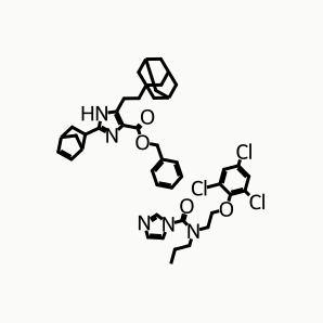 CCCN(CCOc1c(Cl)cc(Cl)cc1Cl)C(=O)n1ccnc1.O=C(OCc1ccccc1)c1nc(C2CC3C=CC2C3)[nH]c1CCC12CC3CC(CC(C3)C1)C2